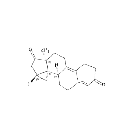 C[C@]12CCC3=C4CCC(=O)C=C4CC[C@H]3[C@]13C[C@@H]3CC2=O